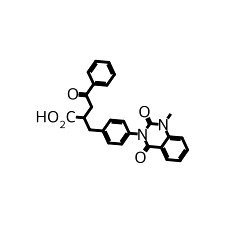 Cn1c(=O)n(-c2ccc(CC(CC(=O)c3ccccc3)C(=O)O)cc2)c(=O)c2ccccc21